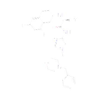 CCC[C@H](N[C@H]1CCc2cc(F)cc(F)c2C1)C(=O)Nc1cn(CC2COCCN2Cc2ccccc2)cn1